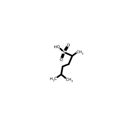 CC(C)CCC(C)S(=O)(=O)O